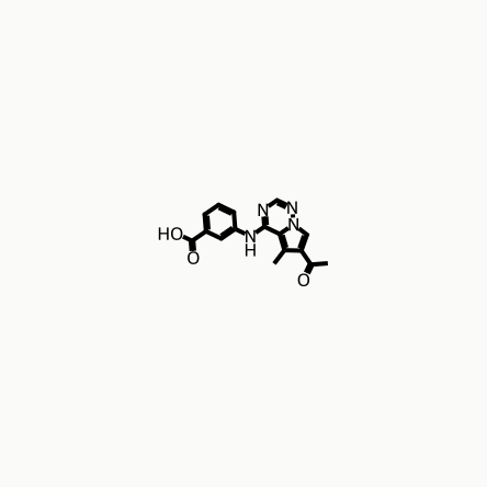 CC(=O)c1cn2ncnc(Nc3cccc(C(=O)O)c3)c2c1C